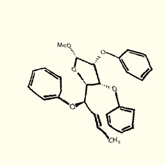 CC=C[C@@H](Oc1ccccc1)[C@H]1O[C@H](OC)[C@H](Oc2ccccc2)[C@@H]1Oc1ccccc1